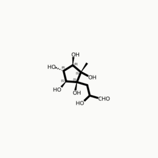 C[C@]1(O)[C@H](O)[C@@H](O)[C@H](O)[C@@]1(O)CC(O)C=O